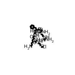 C[Si](C)(Cl)CCCNC(=O)NC(CCCCN)C(=O)NCC(=O)NC(Cc1ccccc1)C(=O)N[C@@H](CCCNC(=N)N)C(N)=O